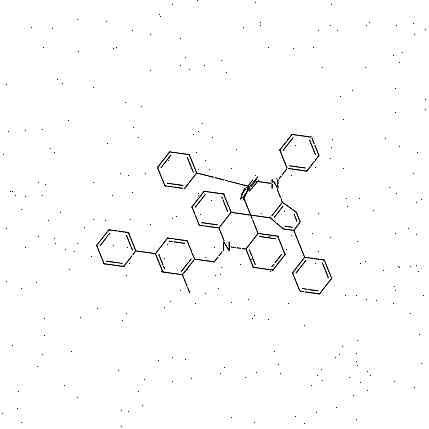 Cc1cc(-c2ccccc2)ccc1CN1c2ccccc2C2(c3ccccc31)c1cc(-c3ccccc3)ccc1N(c1ccccc1)c1ccc(-c3ccccc3)cc12